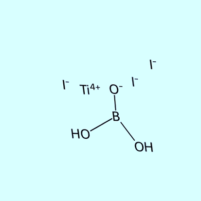 [I-].[I-].[I-].[O-]B(O)O.[Ti+4]